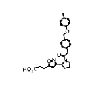 Cc1ccc(OCc2ccc(CC(=O)N3CCCC3c3cc(CCC(=O)O)on3)cc2)cc1